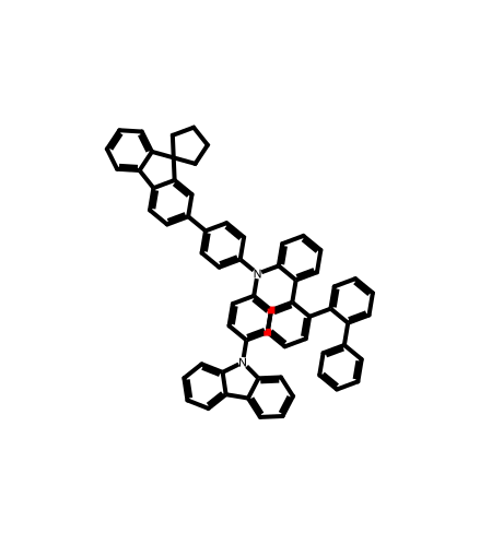 c1ccc(-c2ccccc2-c2ccccc2-c2ccccc2N(c2ccc(-c3ccc4c(c3)C3(CCCC3)c3ccccc3-4)cc2)c2ccc(-n3c4ccccc4c4ccccc43)cc2)cc1